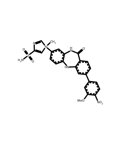 COc1cc(-c2ccc3c(c2)Nc2ccc([N+]4(C)C=NC(S(N)(=O)=O)=C4)cc2NC3=O)ccc1[N+](=O)[O-]